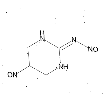 O=NN=C1NCC(N=O)CN1